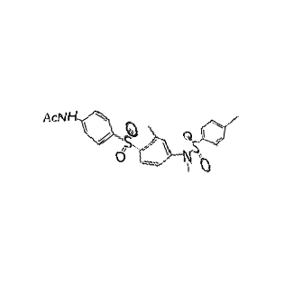 CC(=O)Nc1ccc(S(=O)(=O)c2ccc(N(C)S(=O)(=O)c3ccc(C)cc3)cc2C)cc1